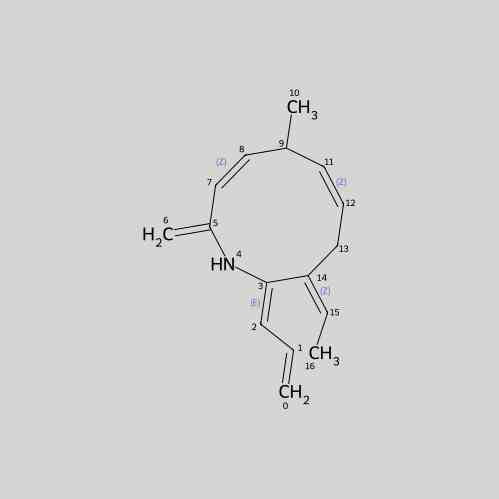 C=C/C=C1/NC(=C)/C=C\C(C)/C=C\C/C1=C/C